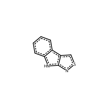 c1ccc2c(c1)[nH]c1nscc12